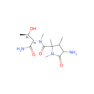 CC1C(N)C(=O)N(C)C1(C)C(=O)N(C)[C@H](C(N)=O)[C@@H](C)O